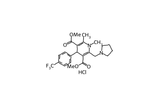 COC(=O)C1=C(C)N(C)C(CN2CCCC2)=C(C(=O)OC)C1c1ccc(C(F)(F)F)cc1.Cl